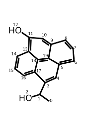 CC(O)c1cc2cccc3cc(O)c4cccc1c4c32